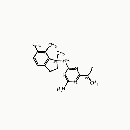 Cc1ccc2c(c1C)[C@](C)(Nc1nc(N)nc([C@H](C)F)n1)CC2